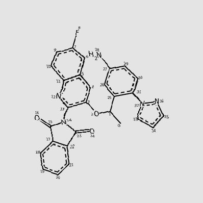 CC(Oc1cc2cc(F)ccc2nc1N1C(=O)c2ccccc2C1=O)c1cc(N)ccc1-n1cccn1